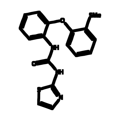 CSc1ccccc1Oc1ccccc1NC(=O)Nc1nccs1